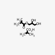 C=C(C)C(=O)O.C=C(C)C(=O)OCC(O)CO